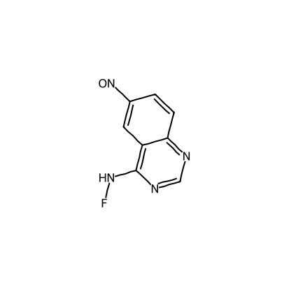 O=Nc1ccc2ncnc(NF)c2c1